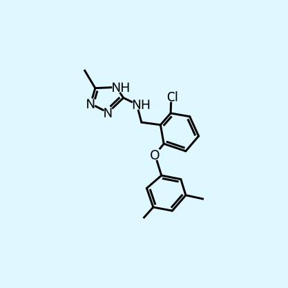 Cc1cc(C)cc(Oc2cccc(Cl)c2CNc2nnc(C)[nH]2)c1